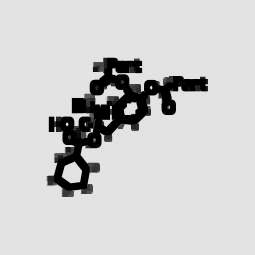 CCCC(C)C(=O)Oc1ccc(C[C@](NC(C)CC)(OC(=O)C2CCCCC2)C(=O)O)cc1OC(=O)C(C)CCC